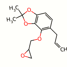 C=CCc1ccc2c(c1OCC1CO1)OC(C)(C)O2